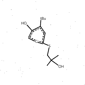 CC(C)(O)CSc1ccc(O)c(C(C)(C)C)c1